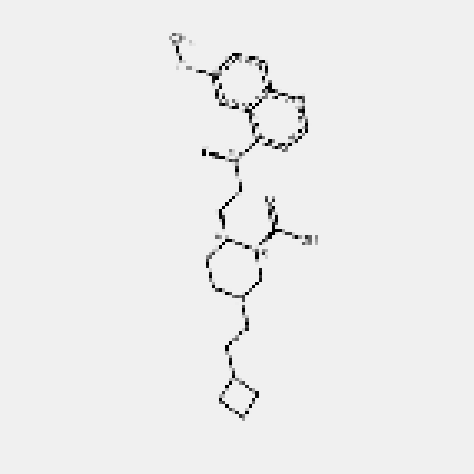 COc1ccc2nccc([C@H](F)CC[C@@H]3CCN(CCC4CCC4)C[C@@H]3C(=O)O)c2c1